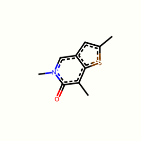 Cc1cc2cn(C)c(=O)c(C)c2s1